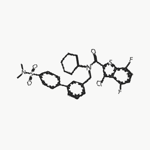 CN(C)S(=O)(=O)c1ccc(-c2cccc(CN(C(=O)c3sc4c(F)ccc(F)c4c3Cl)C3CCCCC3)c2)cc1